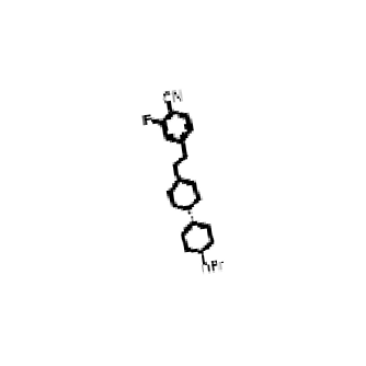 CCC[C@H]1CC[C@H](C2CCC(CCc3ccc(C#N)c(F)c3)CC2)CC1